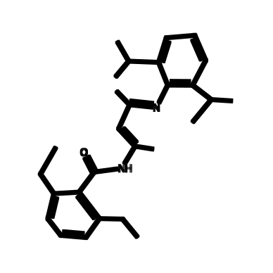 CCc1cccc(CC)c1C(=O)NC(C)=CC(C)=Nc1c(C(C)C)cccc1C(C)C